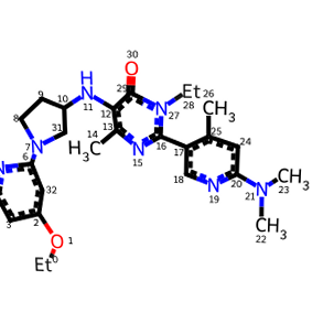 CCOc1ccnc(N2CCC(Nc3c(C)nc(-c4cnc(N(C)C)cc4C)n(CC)c3=O)C2)c1